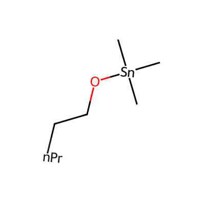 CCCCC[O][Sn]([CH3])([CH3])[CH3]